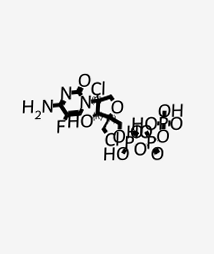 Nc1nc(=O)n([C@@]2(Cl)CO[C@](CCl)(COP(=O)(O)OP(=O)(O)OP(=O)(O)O)[C@H]2O)cc1F